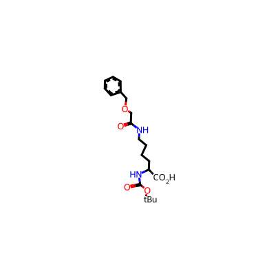 CC(C)(C)OC(=O)NC(CCCCNC(=O)COCc1ccccc1)C(=O)O